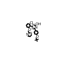 CC(C)(C)COc1ccc(-c2nc(O)nc(-c3c(Cl)cccc3OCc3ncccn3)n2)cc1